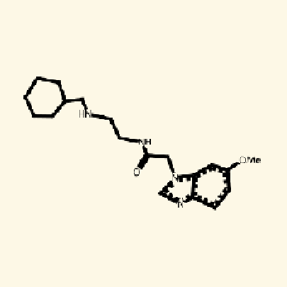 COc1ccc2ncn(CC(=O)NCCNCC3CCCCC3)c2c1